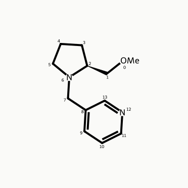 COC[C@@H]1CCCN1Cc1cccnc1